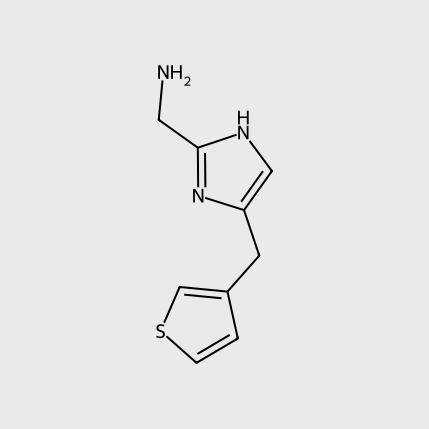 NCc1nc(Cc2ccsc2)c[nH]1